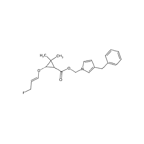 CC1(C)C(OC=CCF)C1C(=O)OCn1ccc(Cc2ccccc2)c1